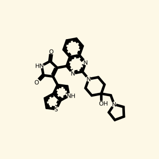 O=C1NC(=O)C(c2c[nH]c3sccc23)=C1c1nc(N2CCC(O)(CN3CCCC3)CC2)nc2ccccc12